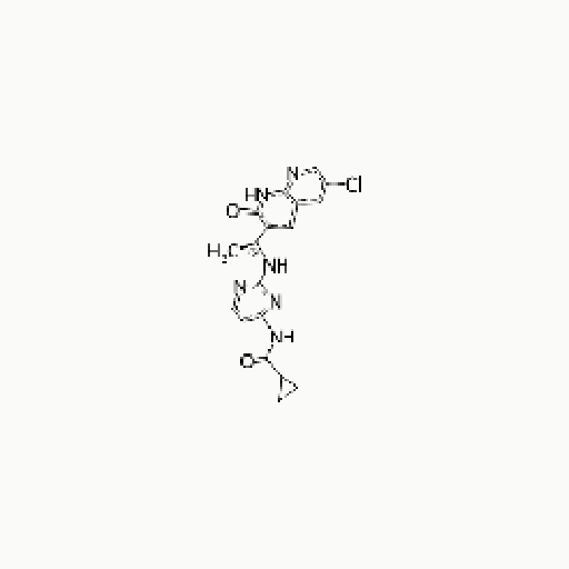 C[C@H](Nc1nccc(NC(=O)C2CC2)n1)c1cc2cc(Cl)cnc2[nH]c1=O